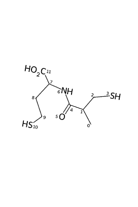 CC(CS)C(=O)NC(CCS)C(=O)O